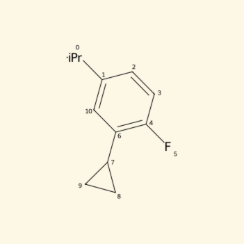 C[C](C)c1ccc(F)c(C2CC2)c1